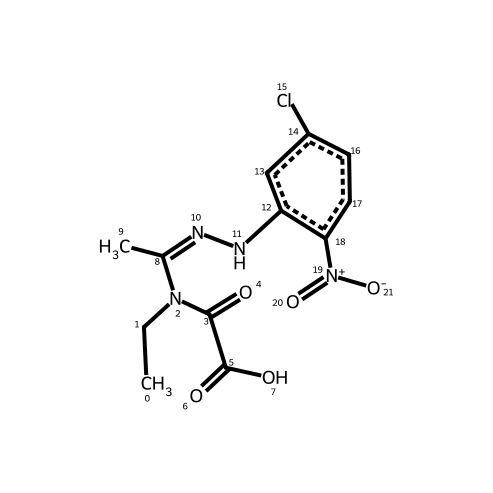 CCN(C(=O)C(=O)O)C(C)=NNc1cc(Cl)ccc1[N+](=O)[O-]